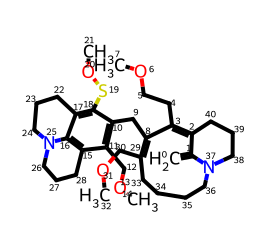 C=C1/C2=C(CCOC)\C(Cc3c(COC)c4c5c(c3SOC)CCCN5CCC4)=C(\COC)CCCCN1CCC2